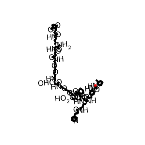 Cc1ccccc1NC(=O)Nc1ccc(CC(=O)N[C@@H](CCCCNC(=O)/C=C/c2cccnc2)C(=O)N[C@@H](CCCC(=O)O)C(=O)NC2(C(=O)NCCOCCOCCNC(=O)CC(C=O)CNCCOCCOCCNC(=O)CCC(=O)N[C@@H](CCCCNC(=O)CCN3C(=O)C=CC3=O)C(N)=O)CCCCC2)cc1